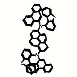 c1ccc2c(c1)cc(N(c1ccc3ccc4c(N(c5cc6ccccc6c6ccccc56)c5cccc6sc7ccccc7c56)ccc5ccc1c3c54)c1cccc3sc4ccccc4c13)c1ccccc12